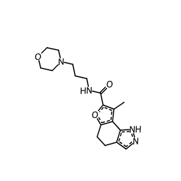 Cc1c(C(=O)NCCCN2CCOCC2)oc2c1-c1[nH]ncc1CC2